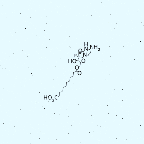 NC1C=CN(C2OC(COC(=O)CCCCCCCCCCC(=O)O)C(O)C2(F)F)C(=O)N1